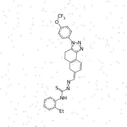 CCc1ccccc1NC(=S)N=NC=C1C=CC2=C(CCc3c2nnn3-c2ccc(OC(F)(F)F)cc2)C1